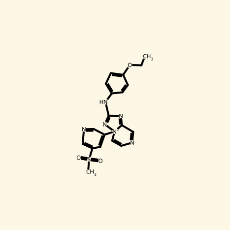 CCOc1ccc(NC2=N[N+]3(c4cncc(S(C)(=O)=O)c4)C=CN=CC3=N2)cc1